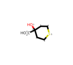 O=C(O)C1(O)CCSCC1